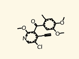 C#Cc1c(Cl)cnc(OC)c1C(=O)c1cc(OC)c(OC)cc1C